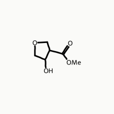 COC(=O)C1COCC1O